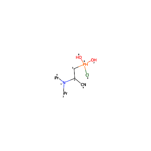 CC(C)N(C(C)C)C(C#N)C[PH](O)(O)Cl